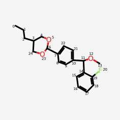 CCCC1COC(c2ccc(C(OC)c3ccccc3F)cc2)OC1